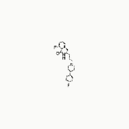 O=c1[nH]c(CCCN2CC=C(c3ccc(F)cc3)CC2)cc2cccc(F)c12